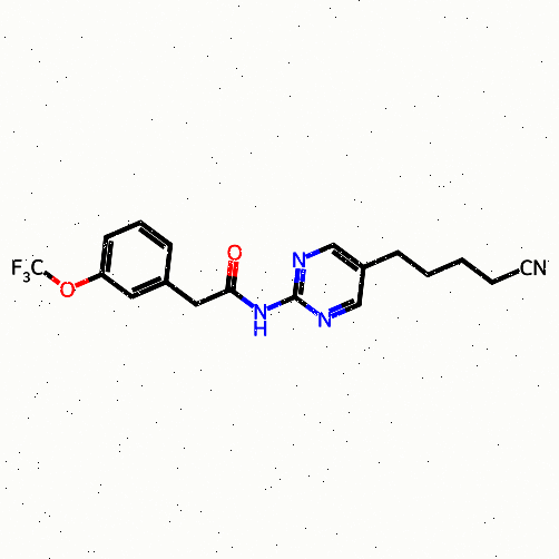 N#CCCCCc1cnc(NC(=O)Cc2cccc(OC(F)(F)F)c2)nc1